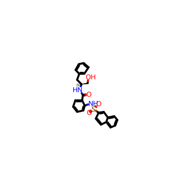 O=C(N[C@H](CO)Cc1ccccc1)c1ccccc1NS(=O)(=O)c1ccc2ccccc2c1